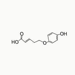 O=C(O)C=CCCOc1ccc(O)cc1